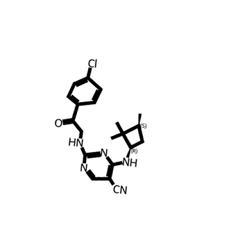 C[C@H]1C[C@@H](Nc2nc(NCC(=O)c3ccc(Cl)cc3)ncc2C#N)C1(C)C